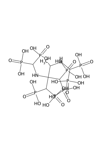 CC(NC(P(=O)(O)O)P(=O)(O)O)C(NC(P(=O)(O)O)P(=O)(O)O)(C(P(=O)(O)O)P(=O)(O)O)C(P(=O)(O)O)P(=O)(O)O